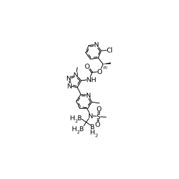 BC(B)(B)N(c1ccc(-c2nnn(C)c2NC(=O)O[C@H](C)c2cccnc2Cl)nc1C)S(C)(=O)=O